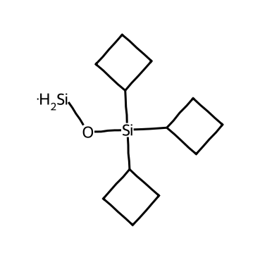 [SiH2]O[Si](C1CCC1)(C1CCC1)C1CCC1